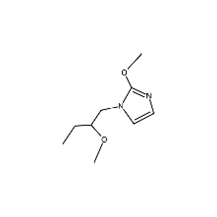 CCC(Cn1ccnc1OC)OC